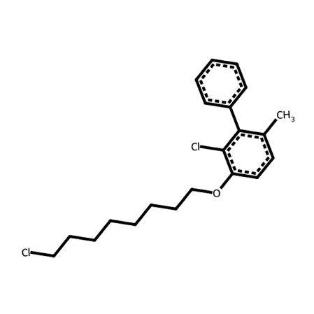 Cc1ccc(OCCCCCCCCCl)c(Cl)c1-c1ccccc1